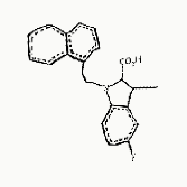 CC1c2cc(F)ccc2N(Cc2cccc3ccccc23)C1C(=O)O